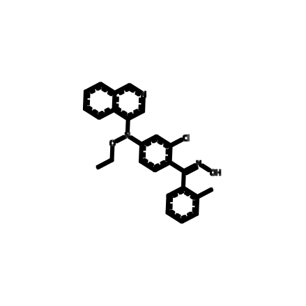 CCON(c1ccc(C(=NO)c2ccccc2C)c(Cl)c1)c1cncc2ccccc12